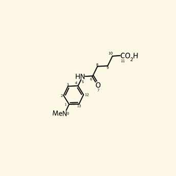 CNc1ccc(NC(=O)CCCC(=O)O)cc1